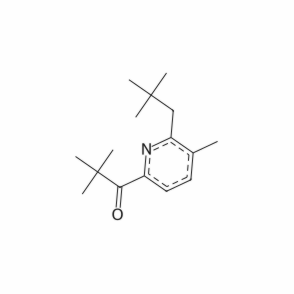 Cc1ccc(C(=O)C(C)(C)C)nc1CC(C)(C)C